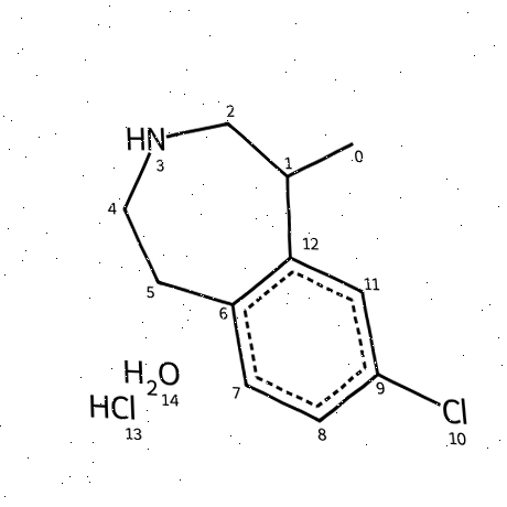 CC1CNCCc2ccc(Cl)cc21.Cl.O